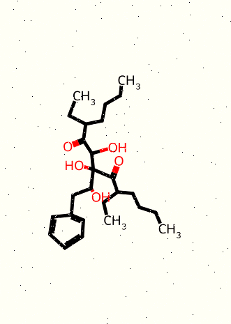 CCCCC(CC)C(=O)C(O)C(O)(C(=O)C(CC)CCCC)C(O)Cc1ccccc1